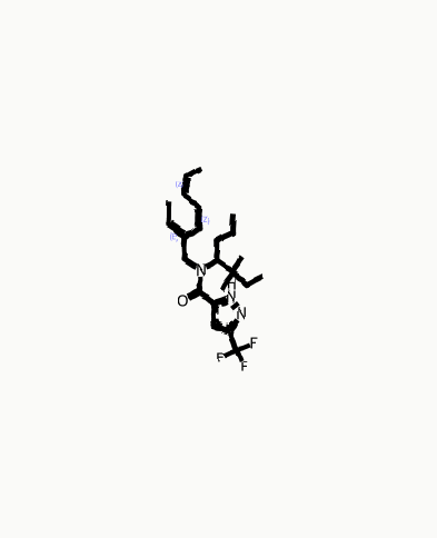 C\C=C/C=C\C(=C/C)CN(C(=O)c1cc(C(F)(F)F)n[nH]1)C(CCC)C(C)(C)CC